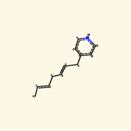 CC=CCC=CCc1ccncc1